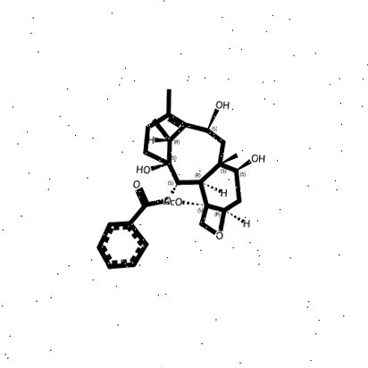 CC(=O)O[C@@]12CO[C@@H]1C[C@H](O)[C@@]1(C)C[C@H](O)C3=C(C)CC[C@](O)([C@@H]3C)[C@@H](OC(=O)c3ccccc3)[C@@H]12